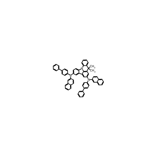 CC1(C)c2ccccc2-n2c3ccc(N(c4ccc(-c5ccccc5)cc4)c4ccc5ccccc5c4)cc3c3cc(N(c4ccc(-c5ccccc5)cc4)c4ccc5ccccc5c4)cc1c32